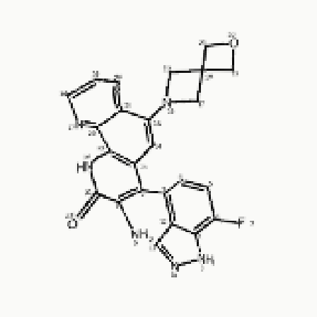 Nc1c(-c2ccc(F)c3[nH]ncc23)c2cc(N3CC4(COC4)C3)c3cccnc3c2[nH]c1=O